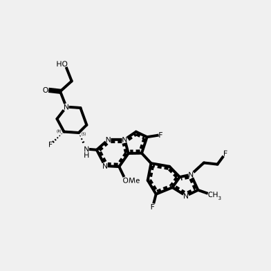 COc1nc(N[C@H]2CCN(C(=O)CO)C[C@H]2F)nn2cc(F)c(-c3cc(F)c4nc(C)n(CCF)c4c3)c12